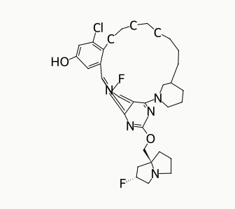 Oc1cc(Cl)c2c(c1)-c1ncc3c(nc(OC[C@@]45CCCN4C[C@H](F)C5)nc3c1F)N1CCCC(CCCCCCCC2)C1